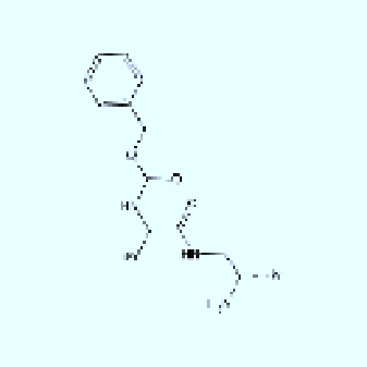 CC(C)C(NC(=O)OCc1ccccc1)C(=O)NC[C@@H](N)C(C)C